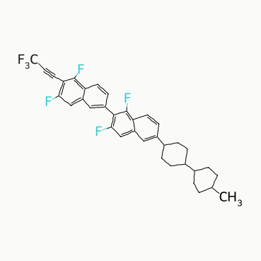 CC1CCC(C2CCC(c3ccc4c(F)c(-c5ccc6c(F)c(C#CC(F)(F)F)c(F)cc6c5)c(F)cc4c3)CC2)CC1